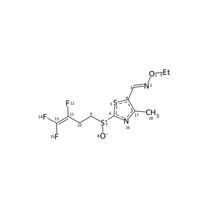 CCON=Cc1sc([S+]([O-])CCC(F)=C(F)F)nc1C